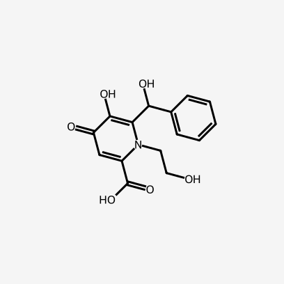 O=C(O)c1cc(=O)c(O)c(C(O)c2ccccc2)n1CCO